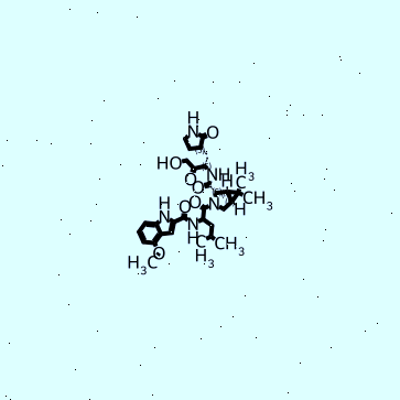 COc1cccc2[nH]c(C(=O)NC(CC(C)C)C(=O)N3C[C@H]4[C@@H]([C@H]3C(=O)N[C@@H](C[C@@H]3CCNC3=O)C(=O)CO)C4(C)C)cc12